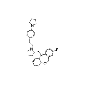 Fc1ccc2c(c1)COC1C=CC=CC1N2C[C@H]1CCCN1CCc1ccc(N2CCCC2)cc1